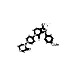 CCOC(=O)c1nn(-c2ccc(OC)cc2)c2c1CCN(C1CCN(N3CCOCC3=O)CC1)C2=O